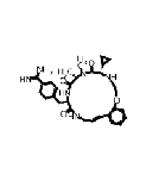 C[C@@H]1C(=O)N[C@H](CC2=CC=C(C(=N)N)CC2)C(=O)NC/C=C/c2ccccc2OCCN[C@@H](C2CC2)C(=O)N1C